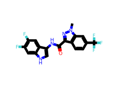 Cn1nc(C(=O)Nc2c[nH]c3cc(F)c(F)cc23)c2ccc(C(F)(F)F)cc21